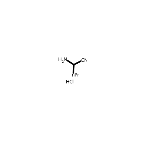 CCCC(N)C#N.Cl